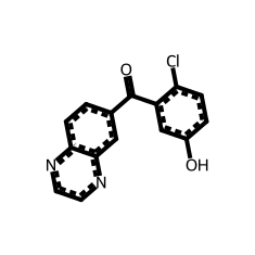 O=C(c1ccc2nccnc2c1)c1cc(O)ccc1Cl